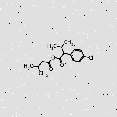 CC(C)CC(=O)OC(=O)C(c1ccc(Cl)cc1)C(C)C